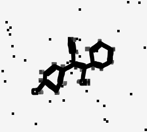 N#CC(=C(O)c1ccccc1)c1ccc(Cl)cc1